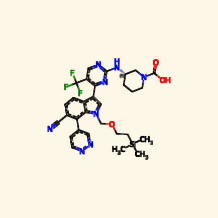 C[Si](C)(C)CCOCn1cc(-c2nc(N[C@H]3CCCN(C(=O)O)C3)ncc2C(F)(F)F)c2ccc(C#N)c(-c3ccnnc3)c21